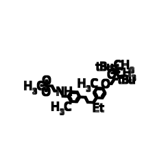 CCC(CCc1ccc(CNCCS(C)(=O)=O)c(C)c1)c1ccc(OCC(O[Si](C)(C)C(C)(C)C)C(C)(C)C)c(C)c1